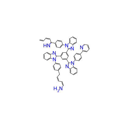 C=C/C=C\C(=N)c1ccc(-n2c(-c3cc(-c4nc5ccccc5n4-c4ccc(C/C=C\C=C/N)cc4)cc(-c4nc5ccccc5n4-c4ccc(-c5ccccn5)cc4)c3)nc3ccccc32)cc1